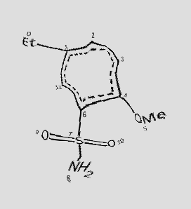 CCc1ccc(OC)c(S(N)(=O)=O)c1